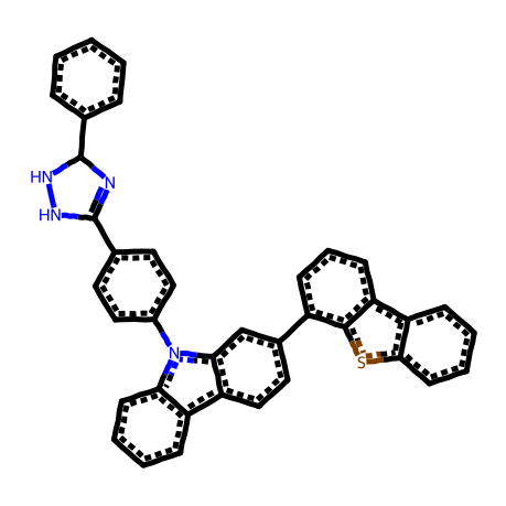 c1ccc(C2N=C(c3ccc(-n4c5ccccc5c5ccc(-c6cccc7c6sc6ccccc67)cc54)cc3)NN2)cc1